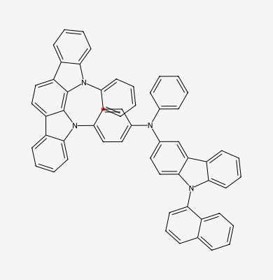 c1ccc(N(c2ccc(-n3c4ccccc4c4ccc5c6ccccc6n(-c6ccccc6)c5c43)cc2)c2ccc3c(c2)c2ccccc2n3-c2cccc3ccccc23)cc1